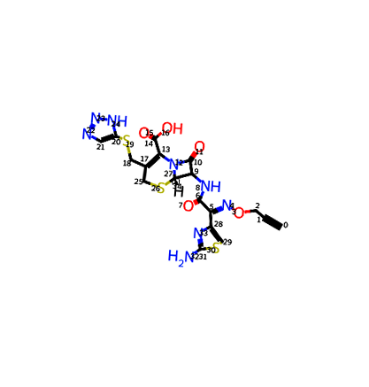 C#CCON=C(C(=O)NC1C(=O)N2C(C(=O)O)=C(CSc3cnn[nH]3)CS[C@@H]12)c1csc(N)n1